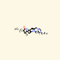 CCc1cc(C(=O)O)c(=O)[nH]c1-c1ccc2c(c1)cc(CN1CCN(C)CC1)n2C